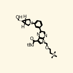 CC(C)(C)C(=O)c1cn(COCC[Si](C)(C)C)c2ncc(-c3cccc(N4C[C@@H]5[C@H](CO)[C@@H]5C4)c3)nc12